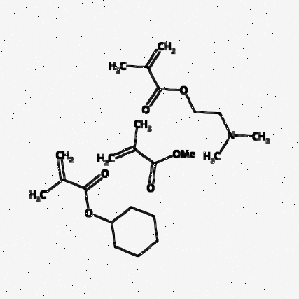 C=C(C)C(=O)OC.C=C(C)C(=O)OC1CCCCC1.C=C(C)C(=O)OCCN(C)C